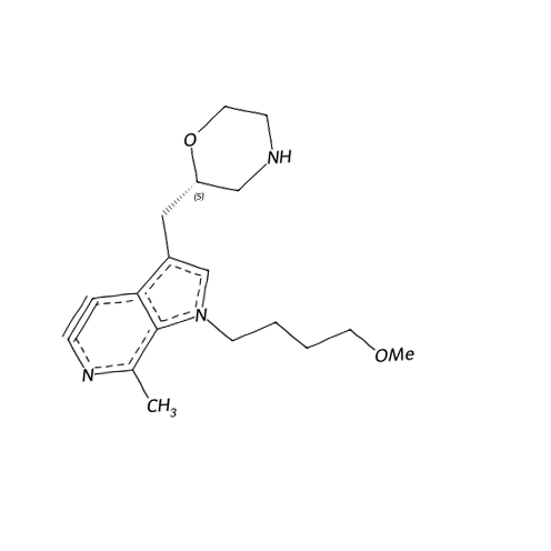 COCCCCn1cc(C[C@H]2CNCCO2)c2c#cnc(C)c21